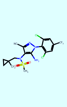 CS(=O)(=O)N(CC1(C(F)(F)F)CC1)c1c(C#N)nn(-c2c(Cl)cc(C(F)(F)F)cc2Cl)c1N